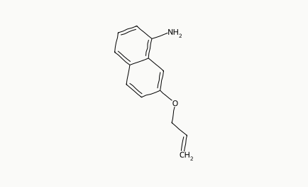 C=CCOc1ccc2cccc(N)c2c1